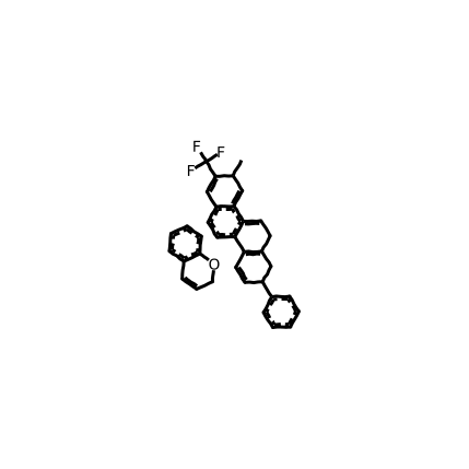 C1=Cc2ccccc2OC1.CC1C=c2c(ccc3c2=CCC2=C3C=CC(c3ccccc3)C2)C=C1C(F)(F)F